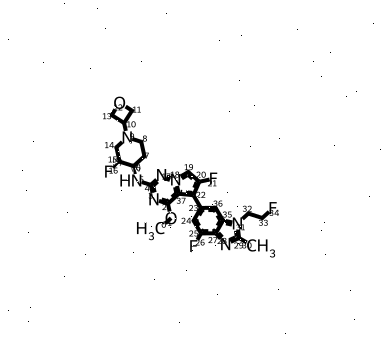 COc1nc(N[C@@H]2CCN(C3COC3)C[C@@H]2F)nn2cc(F)c(-c3cc(F)c4nc(C)n(CCF)c4c3)c12